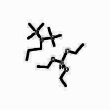 CCCN([Si](C)(C)C)[Si](C)(C)C.CCO[SiH](OCC)OCC